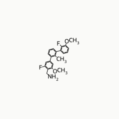 COc1cccc(-c2cccc(-c3cc(F)c(CN)c(OC)c3)c2C)c1F